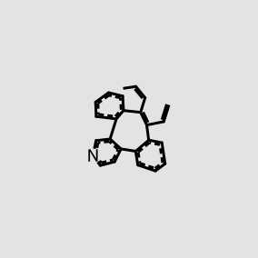 C=C/C1=C(\C=C/C)c2ccccc2-c2cnccc2-c2ccccc21